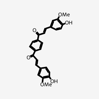 COc1cc(/C=C/C(=O)c2ccc(C(=O)/C=C/c3ccc(O)c(OC)c3)cc2)ccc1O